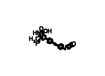 C[C@@H](CF)NC[C@H](Cc1nc[nH]c(=O)c1O)c1ccc(C#Cc2ccc(CN3CC4COCC4C3)cc2)cc1